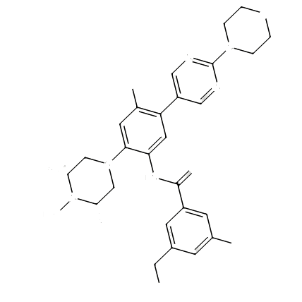 CCc1cc(Cl)cc(C(=O)Nc2cc(-c3cnc(N4CCOCC4)nc3)c(F)cc2N2C[C@@H](C)N(C)[C@@H](C)C2)c1